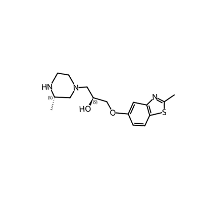 Cc1nc2cc(OC[C@@H](O)CN3CCN[C@@H](C)C3)ccc2s1